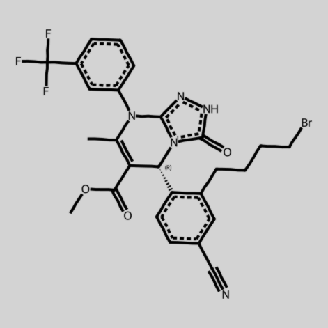 COC(=O)C1=C(C)N(c2cccc(C(F)(F)F)c2)c2n[nH]c(=O)n2[C@@H]1c1ccc(C#N)cc1CCCCBr